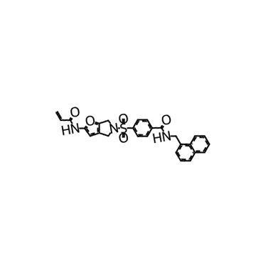 C=CC(=O)Nc1cc2c(o1)CN(S(=O)(=O)c1ccc(C(=O)NCc3cccc4ccccc34)cc1)C2